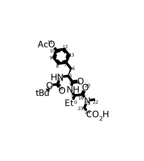 CCC(NC(=O)[C@H](Cc1ccc(OC(C)=O)cc1)NC(=O)OC(C)(C)C)C(=O)N(C)CC(=O)O